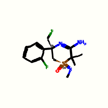 CN=[S@]1(=O)C[C@@](CF)(c2ccccc2F)N=C(N)C1(C)C